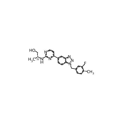 Cc1ccc(Cn2nnc3cc(-c4ccnc(N[C@@H](C)CO)n4)ccc32)cc1F